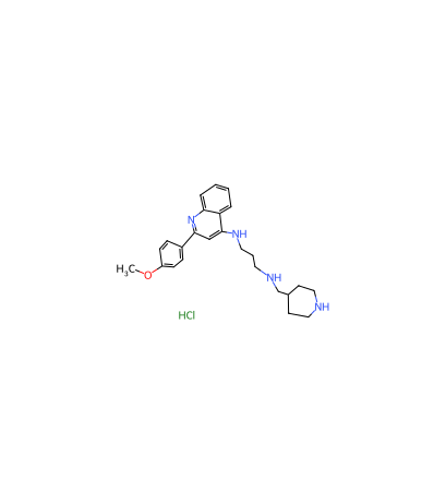 COc1ccc(-c2cc(NCCCNCC3CCNCC3)c3ccccc3n2)cc1.Cl